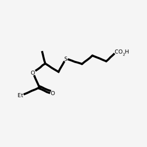 CCC(=O)OC(C)CSCCCC(=O)O